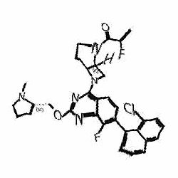 C=C(F)C(=O)N1CCC2[C@H]1CN2c1nc(OC[C@@H]2CCCN2C)nc2c(F)c(-c3cccc4cccc(Cl)c34)ccc12